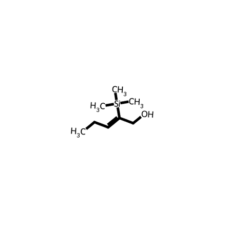 CCC=C(CO)[Si](C)(C)C